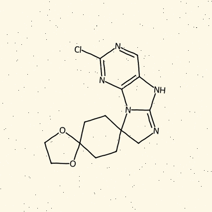 Clc1ncc2c(n1)N1C(=NCC13CCC1(CC3)OCCO1)N2